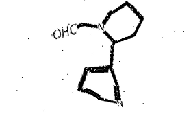 O=[C]N1CCCCC1c1cccnc1